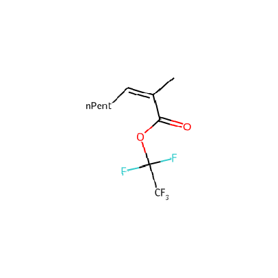 CCCCCC=C(C)C(=O)OC(F)(F)C(F)(F)F